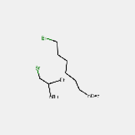 CCCCC(CC)CBr.CCCCCCCCCCCCCCCCBr